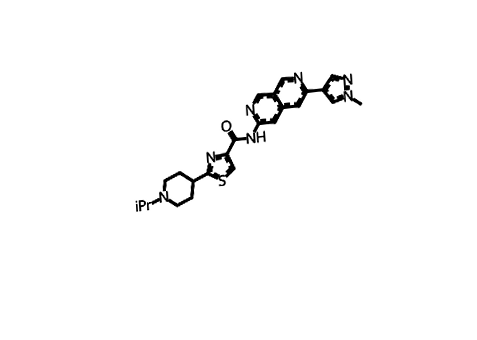 CC(C)N1CCC(c2nc(C(=O)Nc3cc4cc(-c5cnn(C)c5)ncc4cn3)cs2)CC1